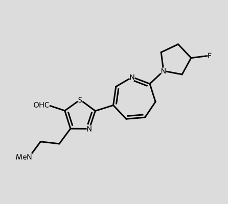 CNCCc1nc(C2=CN=C(N3CCC(F)C3)CC=C2)sc1C=O